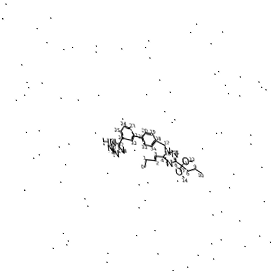 CCC=Cc1nc(C(CCC)(OC)OC)nn1Cc1ccc(-c2cccc(-c3nnn[nH]3)c2)cc1